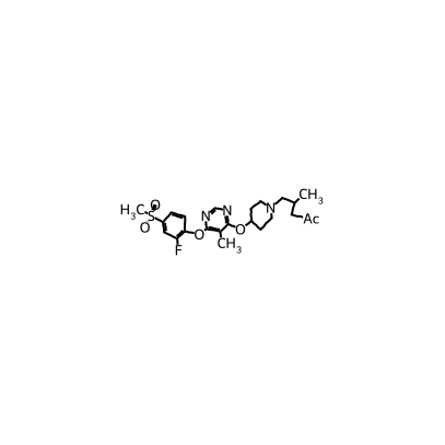 CC(=O)CC(C)CN1CCC(Oc2ncnc(Oc3ccc(S(C)(=O)=O)cc3F)c2C)CC1